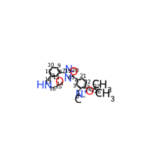 [C-]#[N+]c1cc(-c2nc(-c3cccc4c3OCCNC4)no2)ccc1OC(C)C